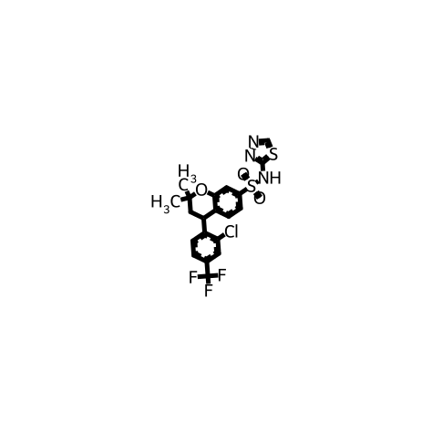 CC1(C)CC(c2ccc(C(F)(F)F)cc2Cl)c2ccc(S(=O)(=O)Nc3nncs3)cc2O1